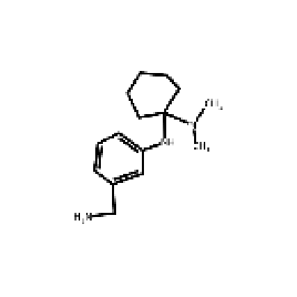 CN(C)C1(Nc2cccc(CN)c2)C[CH]CCC1